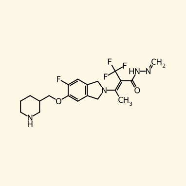 C=NNC(=O)/C(=C(\C)N1Cc2cc(F)c(OCC3CCCNC3)cc2C1)C(F)(F)F